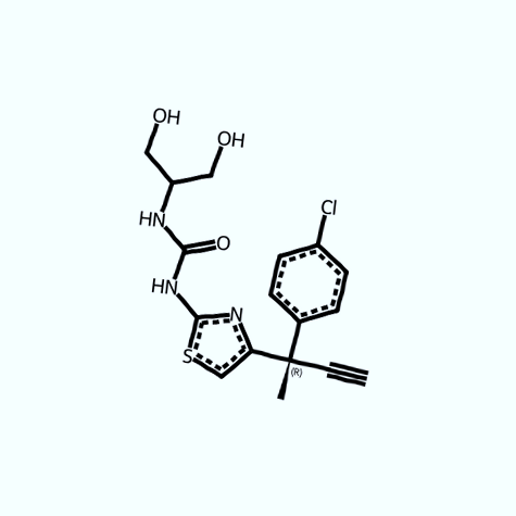 C#C[C@@](C)(c1ccc(Cl)cc1)c1csc(NC(=O)NC(CO)CO)n1